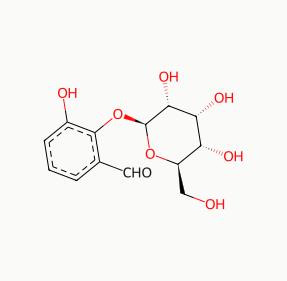 O=Cc1cccc(O)c1O[C@@H]1O[C@H](CO)[C@@H](O)[C@@H](O)[C@H]1O